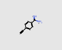 C#Cc1ccc(C(=N)N)cc1